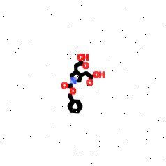 O=C(O)CC1CN(C(=O)OCc2ccccc2)CC1CC(=O)O